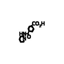 O=C(O)c1ccc(C(=O)Nc2ccccn2)cc1